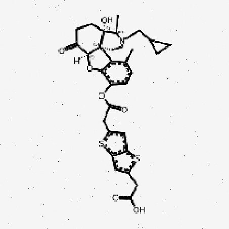 Cc1ccc(OC(=O)Cc2cc3sc(CC(=O)O)cc3s2)c2c1[C@]13CCN(CC4CC4)[C@H](C)[C@]1(O)CCC(=O)[C@@H]3O2